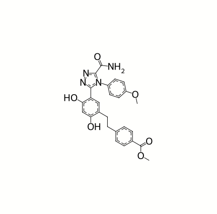 COC(=O)c1ccc(CCc2cc(-c3nnc(C(N)=O)n3-c3ccc(OC)cc3)c(O)cc2O)cc1